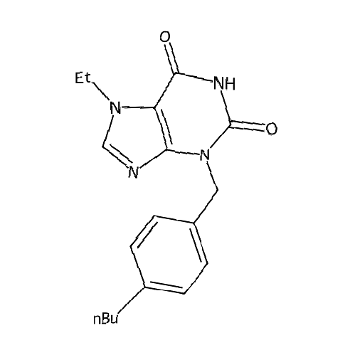 CCCCc1ccc(Cn2c(=O)[nH]c(=O)c3c2ncn3CC)cc1